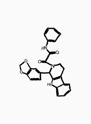 O=C(Nc1ccccc1)C(=O)N1CCc2c([nH]c3ccccc23)C1c1ccc2c(c1)OCO2